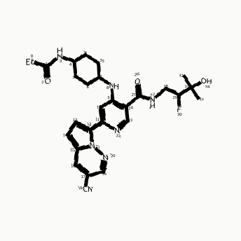 CCC(=O)NC1CCC(Nc2cc(-c3ccc4cc(C#N)cnn34)ncc2C(=O)NCC(F)C(C)(C)O)CC1